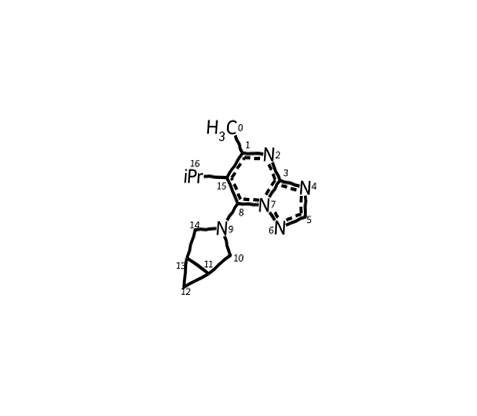 Cc1nc2ncnn2c(N2CC3CC3C2)c1C(C)C